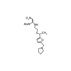 CN/C(=C\[N+](=O)[O-])NCCSC(C)c1ccc(CN2CCCC2)o1